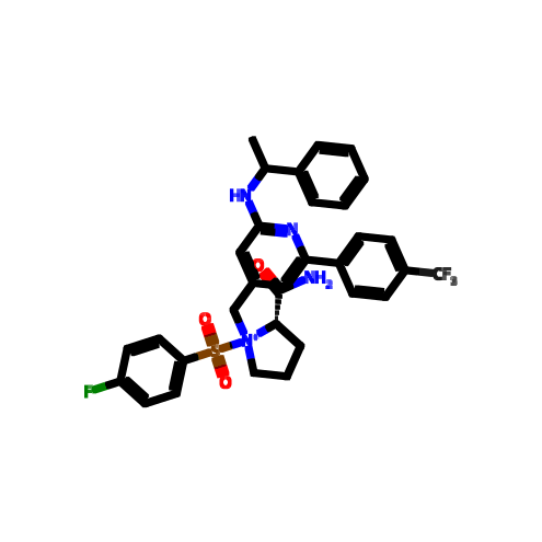 CC(Nc1cc(C[N+]2(S(=O)(=O)c3ccc(F)cc3)CCC[C@H]2C(N)=O)cc(-c2ccc(C(F)(F)F)cc2)n1)c1ccccc1